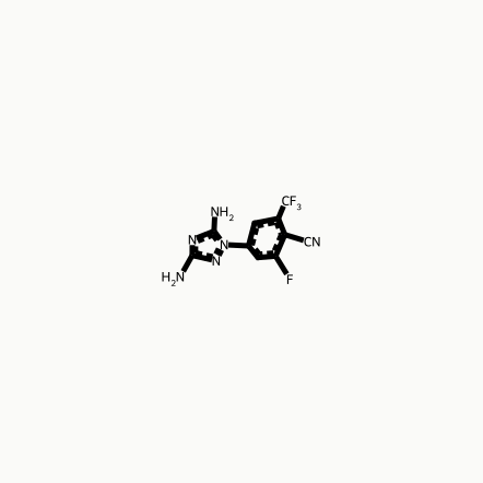 N#Cc1c(F)cc(-n2nc(N)nc2N)cc1C(F)(F)F